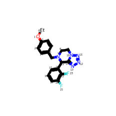 CCOc1ccc(CN2CCn3nnnc3C2c2cccc(F)c2F)cc1